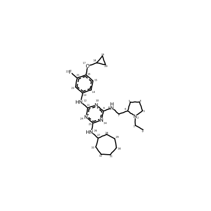 CCN1CCCC1CNc1nc(Nc2ccc(OC3CC3)c(F)c2)nc(NC2CCCCCC2)n1